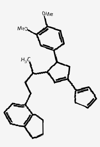 COc1ccc(C2CC(C3=CC=CC3)=CC2C(C)CCc2cccc3c2CCC3)cc1OC